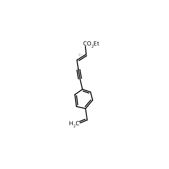 C=Cc1ccc(C#C/C=C/C(=O)OCC)cc1